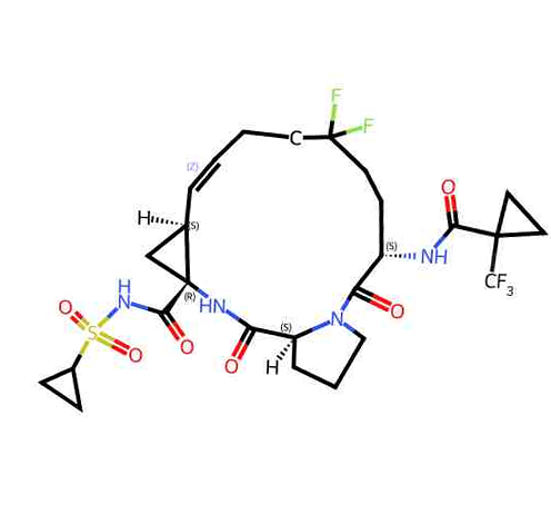 O=C1N[C@]2(C(=O)NS(=O)(=O)C3CC3)C[C@H]2/C=C\CCC(F)(F)CC[C@H](NC(=O)C2(C(F)(F)F)CC2)C(=O)N2CCC[C@@H]12